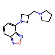 c1cc(N2CC(CN3CCCC3)C2)c2nonc2c1